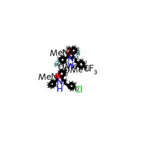 CNC(=O)C(NC(CCc1ccc(Cl)cc1)c1ccc(OC)c(OC)c1)c1ccccc1.CNC(=O)[C@H](N[C@@H](CCc1ccc(C(F)(F)F)cc1)c1cc(C)ccc1F)c1ccc(F)cc1